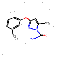 Cc1cc(Oc2cccc(C(F)(F)F)c2)nn1C(N)=O